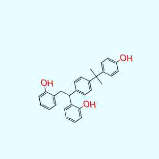 CC(C)(c1ccc(O)cc1)c1ccc(C(Cc2ccccc2O)c2ccccc2O)cc1